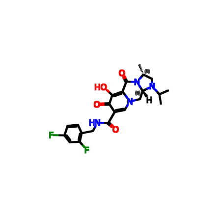 CC(C)N1C[C@@H](C)N2C(=O)c3c(O)c(=O)c(C(=O)NCc4ccc(F)cc4F)cn3C[C@@H]12